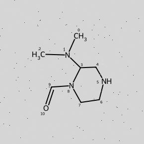 CN(C)C1CNCCN1[C]=O